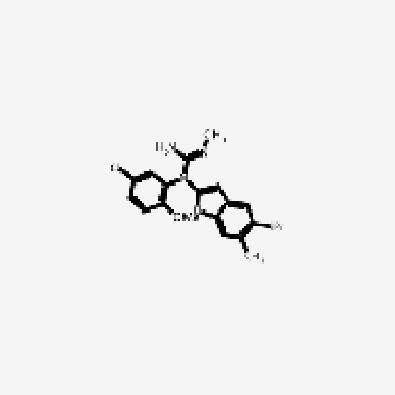 CN=C(N)N(c1cc2cc(C(C)C)c(C)cc2o1)c1cc(Cl)ccc1OC